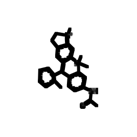 CC(=O)Nc1ccc2c(c1)[Si](C)(C)c1cc3c(cc1=C2c1ccccc1C)CC[N+]=3C